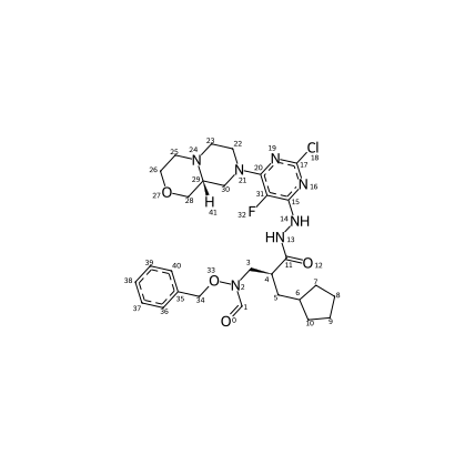 O=CN(C[C@H](CC1CCCC1)C(=O)NNc1nc(Cl)nc(N2CCN3CCOC[C@H]3C2)c1F)OCc1ccccc1